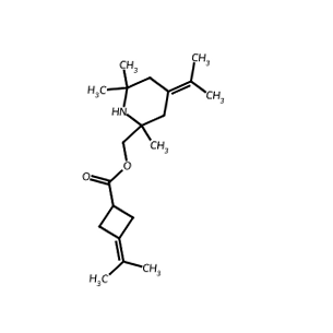 CC(C)=C1CC(C(=O)OCC2(C)CC(=C(C)C)CC(C)(C)N2)C1